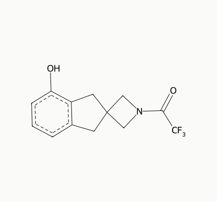 O=C(N1CC2(Cc3cccc(O)c3C2)C1)C(F)(F)F